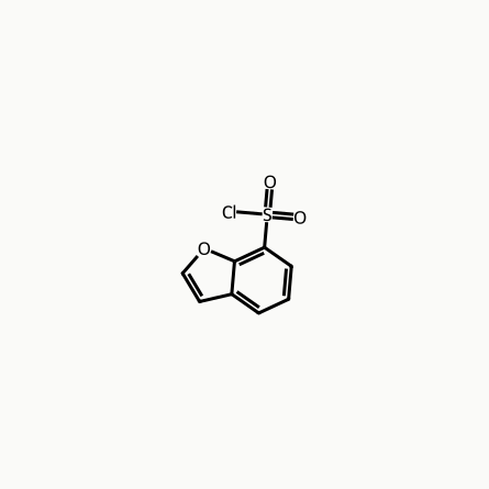 O=S(=O)(Cl)c1cccc2ccoc12